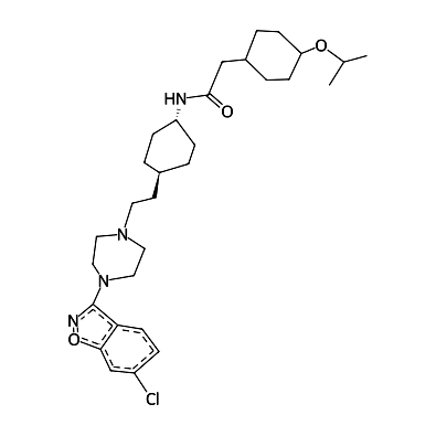 CC(C)OC1CCC(CC(=O)N[C@H]2CC[C@H](CCN3CCN(c4noc5cc(Cl)ccc45)CC3)CC2)CC1